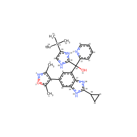 Cc1noc(C)c1-c1cc(C(O)(c2ccccn2)c2nc([Si](C)(C)C(C)(C)C)c[nH]2)c2nc(C3CC3)[nH]c2c1